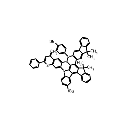 C=C1C=C(c2ccccc2)Sc2cc3c(cc21)B1c2c(c4c(c5c6cc(C(C)(C)C)ccc6n-3c25)-c2ccccc2C4(C)C)-c2cc3c(cc2N1c1ccc(C(C)(C)C)cc1)-c1ccccc1C3(C)C